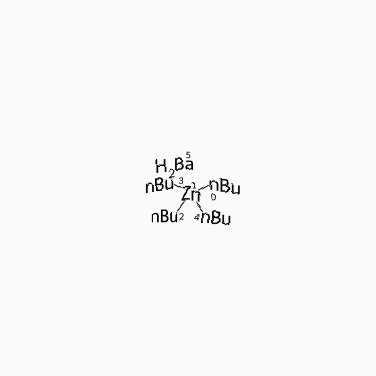 CCC[CH2][Zn]([CH2]CCC)([CH2]CCC)[CH2]CCC.[BaH2]